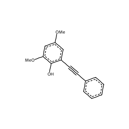 COc1cc(C#Cc2ccccc2)c(O)c(OC)c1